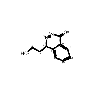 O=C1N=NC(CCO)c2ccccc21